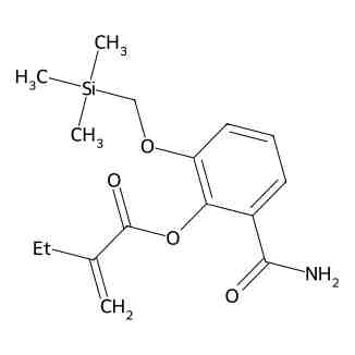 C=C(CC)C(=O)Oc1c(OC[Si](C)(C)C)cccc1C(N)=O